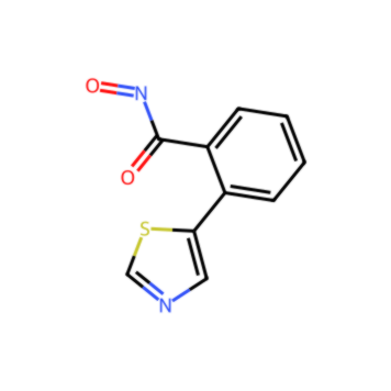 O=NC(=O)c1ccccc1-c1cncs1